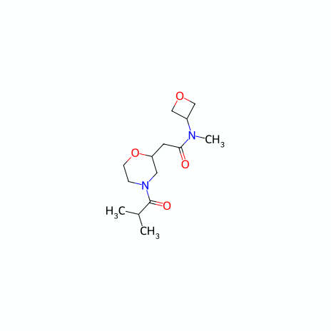 CC(C)C(=O)N1CCOC(CC(=O)N(C)C2COC2)C1